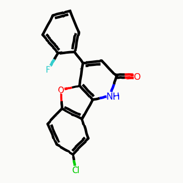 O=c1cc(-c2ccccc2F)c2oc3ccc(Cl)cc3c2[nH]1